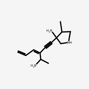 BC(C)/C(C#CC1(N)CNCC1C)=C\C=C